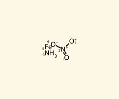 N.O=[N+]([O-])[O-].[Fe]